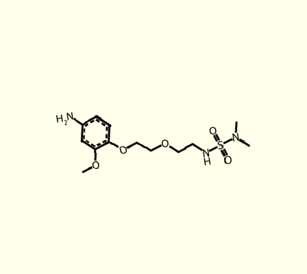 COc1cc(N)ccc1OCCOCCNS(=O)(=O)N(C)C